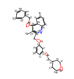 Cc1ccc2nc(COc3cccc(OCC4CCOCC4)c3)c(C)c(OCc3ccccc3)c2c1